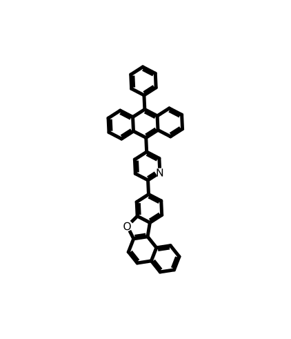 c1ccc(-c2c3ccccc3c(-c3ccc(-c4ccc5c(c4)oc4ccc6ccccc6c45)nc3)c3ccccc23)cc1